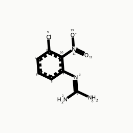 NC(N)=Nc1cccc(Cl)c1[N+](=O)[O-]